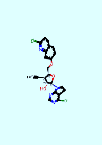 C#C[C@@H]1[C@@H](O)[C@H](n2ccc3c(Cl)ncnc32)O[C@@H]1COc1ccc2ccc(Cl)nc2c1